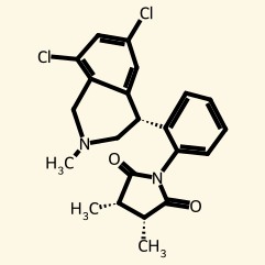 C[C@@H]1C(=O)N(c2ccccc2[C@@H]2CN(C)Cc3c(Cl)cc(Cl)cc32)C(=O)[C@@H]1C